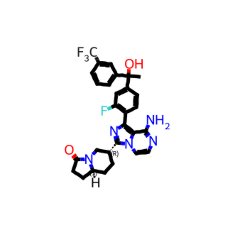 CC(O)(c1cccc(C(F)(F)F)c1)c1ccc(-c2nc([C@@H]3CC[C@H]4CCC(=O)N4C3)n3ccnc(N)c23)c(F)c1